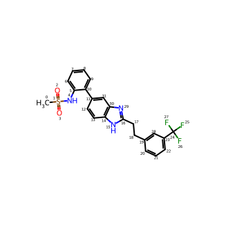 CS(=O)(=O)Nc1ccccc1-c1ccc2[nH]c(CCc3cccc(C(F)(F)F)c3)nc2c1